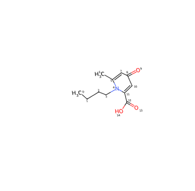 CCCCn1c(C)cc(=O)cc1C(=O)O